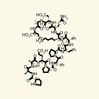 CC(C)C[C@H](NC(=O)[C@H](C)NC(=O)[C@H](CC(=O)O)NC(=O)[C@H](CCC(N)=O)NC(=O)[C@H](CCCCN)NC(=O)[C@@H](NC(=O)[C@H](CC(C)C)NC(=O)[C@@H]1CCCN1C(=O)[C@@H](NC(=O)[C@@H]1CCCN1C(=O)[C@H](CCC(=O)O)NC(=O)[C@H](C)NC(=O)[C@H](C)NC(=O)[C@@H]1CCCN1)C(C)C)C(C)C)C(=O)O